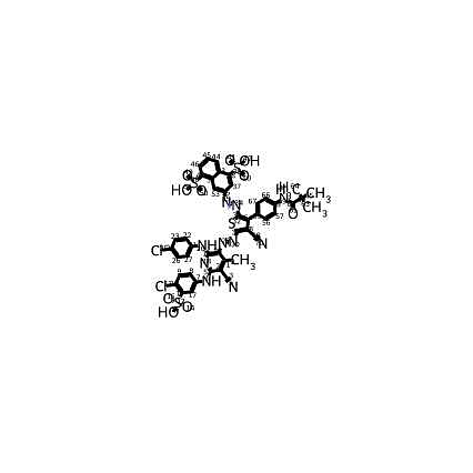 Cc1c(C#N)c(Nc2ccc(Cl)c(S(=O)(=O)O)c2)nc(Nc2ccc(Cl)cc2)c1N=Nc1sc(/N=N/c2cc(S(=O)(=O)O)c3cccc(S(=O)(=O)O)c3c2)c(-c2ccc(NC(=O)C(C)(C)C)cc2)c1C#N